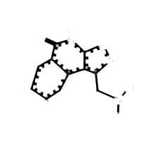 CN(C)Cc1noc2[nH]c(=O)c3ccccc3c12